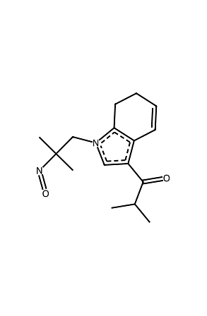 CC(C)C(=O)c1cn(CC(C)(C)N=O)c2c1C=CCC2